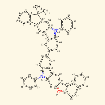 CC1(C)c2ccccc2-c2cc3c4cc(-c5ccc6c(c5)c5cc7c(cc5n6-c5ccccc5)oc5ccc6ccccc6c57)ccc4n(-c4ccccc4)c3cc21